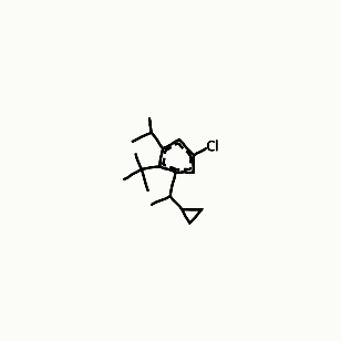 CC(C)c1cc(Cl)cc(C(C)C2CC2)c1C(C)(C)C